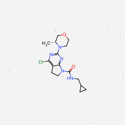 C[C@@H]1COCCN1c1nc(Cl)c2c(n1)N(C(=O)NCC1CC1)CC2